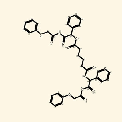 O=C(COc1ccccc1)OC(=O)C(OC(=O)CCCCC(=O)OC(C(=O)OC(=O)COc1ccccc1)c1ccccc1)c1ccccc1